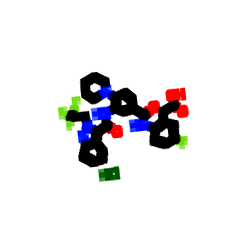 Cl.O=C(O)Cc1cc(F)ccc1NC(=O)c1ccc(N2CCCCC2)c(NC(=O)c2c3ccccc3nn2CC(F)(F)F)c1